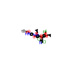 CC(C)(C)OC(=O)NC1CCC(NC(=O)c2ccc(C(=O)O[C@@H](Cc3c(Cl)cncc3Cl)c3ccc(OC(F)F)c(OCC4CC4)c3)cc2OCC2CC2)CC1